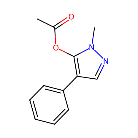 CC(=O)Oc1c(-c2ccccc2)cnn1C